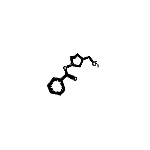 O=C(ON1CCC(CC(F)(F)F)C1)c1ccccc1